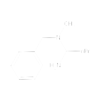 CCCC(N)N(C)Cc1ccccc1